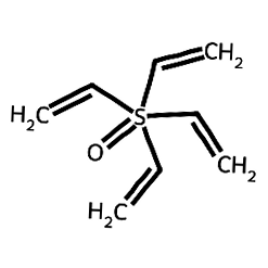 C=CS(=O)(C=C)(C=C)C=C